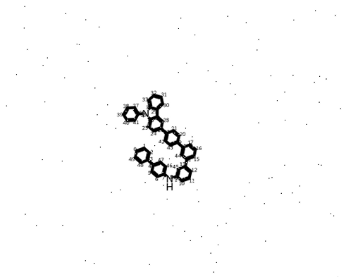 c1ccc(-c2ccc(Nc3cccc(-c4cccc(-c5ccc(-c6ccc7c(c6)c6ccccc6n7-c6ccccc6)cc5)c4)c3)cc2)cc1